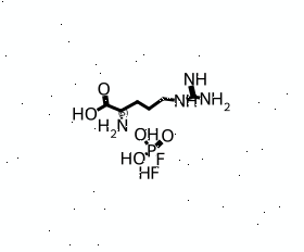 F.N=C(N)NCCC[C@H](N)C(=O)O.O=P(O)(O)F